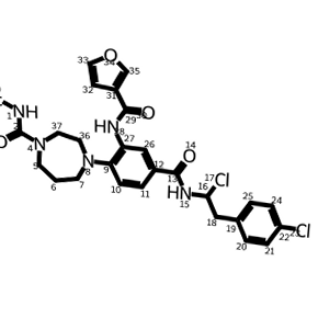 CCNC(=O)N1CCCN(c2ccc(C(=O)NC(Cl)Cc3ccc(Cl)cc3)cc2NC(=O)c2ccoc2)CC1